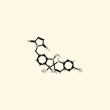 CN1c2cc(CN3C(=O)C=CC3=O)ccc2C(C)(C)C12C=Cc1cc([N+](=O)[O-])ccc1O2